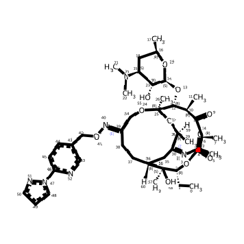 CC[C@H]1OC(=O)[C@H](C)C(=O)[C@H](C)[C@@H](O[C@@H]2O[C@H](C)C[C@H](N(C)C)[C@H]2O)[C@@]2(C)C[C@@H](C)/C(=N\C(C)=O)C[C@@H](CC/C(=N\OCc3ccc(-n4cccn4)nc3)CO2)[C@]1(C)O